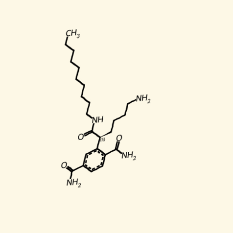 CCCCCCCCCCNC(=O)[C@@H](CCCCN)c1cc(C(N)=O)ccc1C(N)=O